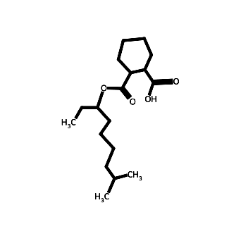 CCC(CCCCC(C)C)OC(=O)C1CCCCC1C(=O)O